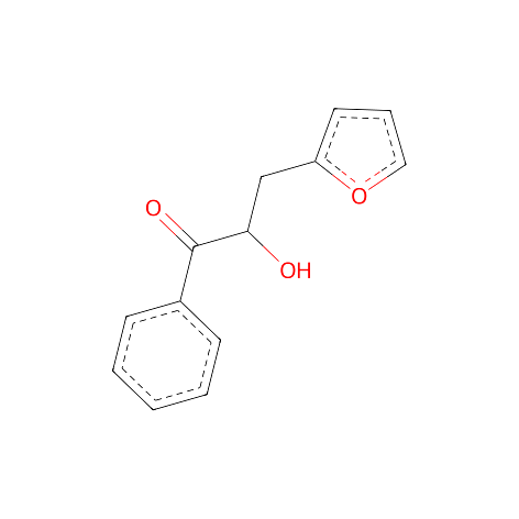 O=C(c1ccccc1)C(O)Cc1ccco1